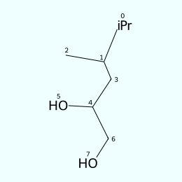 CC(C)C(C)CC(O)CO